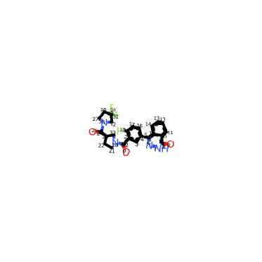 O=C(c1cc(-c2n[nH]c(=O)c3ccccc23)ccc1F)N1CCC(C(=O)N2CCC(F)(F)C2)C1